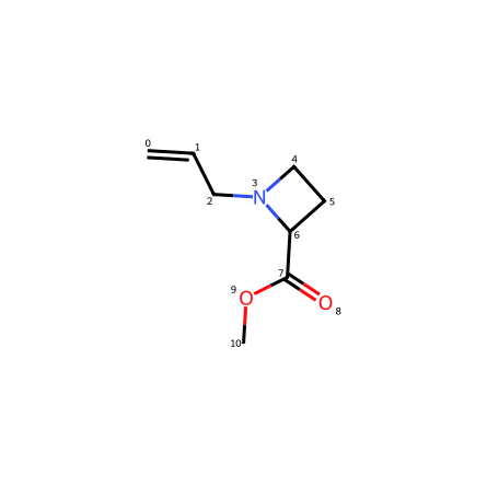 C=CCN1CCC1C(=O)OC